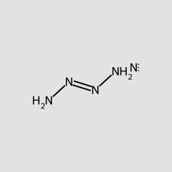 NN=NN.[N]